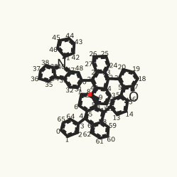 c1ccc(-c2c3ccccc3c(-c3ccc4oc5cccc(-c6c7ccccc7c(-c7ccc8c9ccccc9n(-c9ccccc9)c8c7)c7ccccc67)c5c4c3)c3ccccc23)cc1